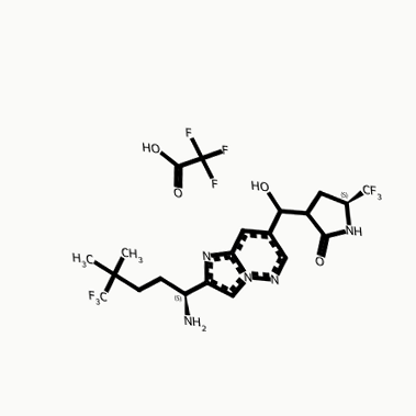 CC(C)(CC[C@H](N)c1cn2ncc(C(O)C3C[C@@H](C(F)(F)F)NC3=O)cc2n1)C(F)(F)F.O=C(O)C(F)(F)F